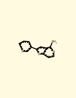 Nc1nccc2oc(-c3cccnc3)cc12